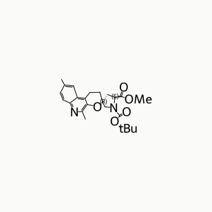 COC(=O)[C@@H]1C[C@]2(CCc3c(c(C)nc4ccc(C)cc34)O2)CN1C(=O)OC(C)(C)C